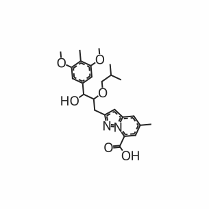 COc1cc(C(O)C(Cc2cc3cc(C)cc(C(=O)O)n3n2)OCC(C)C)cc(OC)c1C